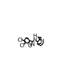 Clc1ccc2c(NC3C4CCN(CC4)C34CC4)noc2c1Cl